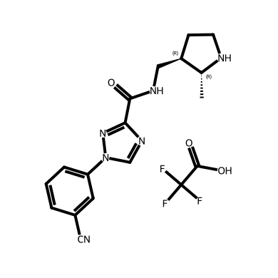 C[C@H]1NCC[C@@H]1CNC(=O)c1ncn(-c2cccc(C#N)c2)n1.O=C(O)C(F)(F)F